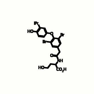 CC(C)c1cc(Oc2c(Br)cc(CC(=O)NC(CCO)C(=O)O)cc2Br)ccc1O